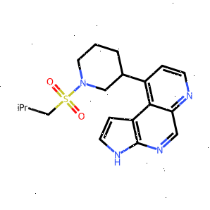 CC(C)CS(=O)(=O)N1CCCC(c2ccnc3cnc4[nH]ccc4c23)C1